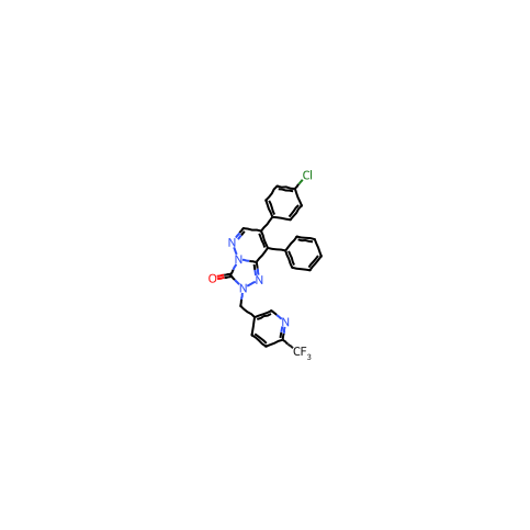 O=c1n(Cc2ccc(C(F)(F)F)nc2)nc2c(-c3ccccc3)c(-c3ccc(Cl)cc3)cnn12